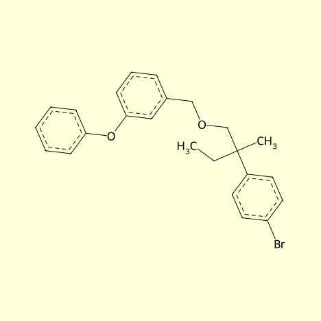 CCC(C)(COCc1cccc(Oc2ccccc2)c1)c1ccc(Br)cc1